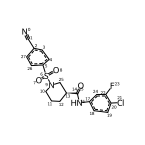 N#Cc1ccc(S(=O)(=O)N2CCC[C@H](C(=O)Nc3ccc(Cl)c(F)c3)C2)cc1